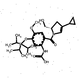 COc1cc(C(=O)N2C=C(C3CC3)C[C@H]2CO)c(NC(=O)O)cc1O[Si](C(C)C)(C(C)C)C(C)C